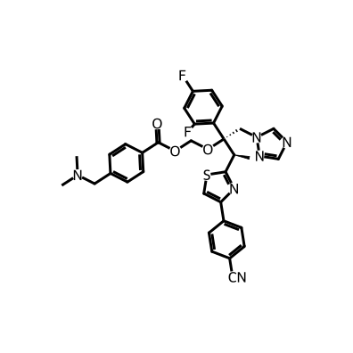 C[C@@H](c1nc(-c2ccc(C#N)cc2)cs1)[C@@](Cn1cncn1)(OCOC(=O)c1ccc(CN(C)C)cc1)c1ccc(F)cc1F